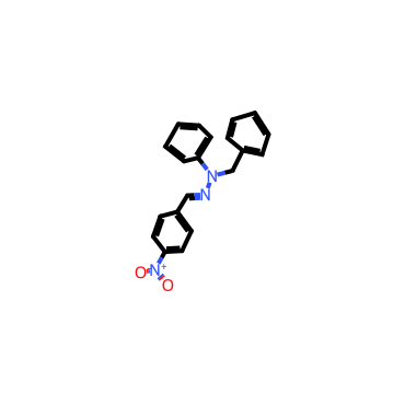 O=[N+]([O-])c1ccc(/C=N/N(Cc2ccccc2)c2ccccc2)cc1